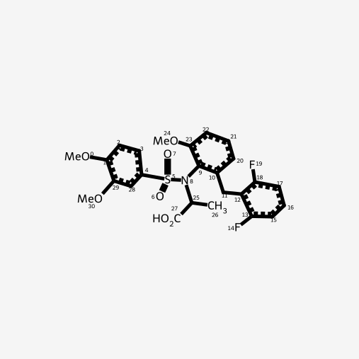 COc1ccc(S(=O)(=O)N(c2c(Cc3c(F)cccc3F)cccc2OC)C(C)C(=O)O)cc1OC